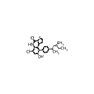 CCN(C)C[C@@H](C)c1ccc(-c2c(O)cc(Cl)c3[nH]c(=O)c4sccc4c23)cc1